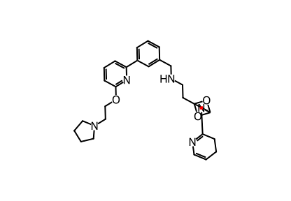 C1=CN=C(N2CC3(CCNCc4cccc(-c5cccc(OCCN6CCCC6)n5)c4)OC2O3)CC1